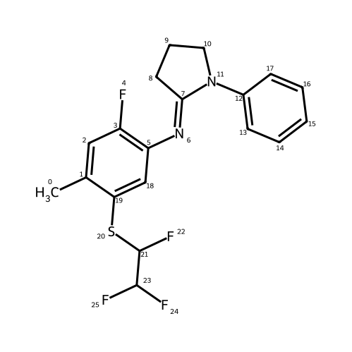 Cc1cc(F)c(N=C2CCCN2c2ccccc2)cc1SC(F)C(F)F